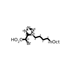 CCCCCCCCCCCCn1nnnc1C(Br)C(=O)O